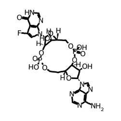 Nc1ncnc2c1ncn2[C@@H]1O[C@@H]2CCOP(=O)(O)O[C@@H]3[C@H](O)[C@@H](COP(=O)(O)O[C@H]2[C@H]1O)O[C@H]3n1cc(F)c2c(=O)[nH]cnc21